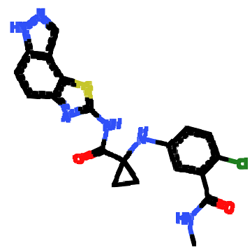 CNC(=O)c1cc(NC2(C(=O)Nc3nc4ccc5[nH]ncc5c4s3)CC2)ccc1Cl